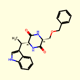 CC(c1c[nH]c2ccccc12)[C@H]1NC(=O)[C@@H](COCc2ccccc2)NC1=O